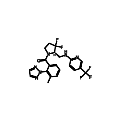 Cc1cccc(C(=O)N2CCC(F)(F)[C@H]2CNc2ccc(C(F)(F)F)cn2)c1-n1nccn1